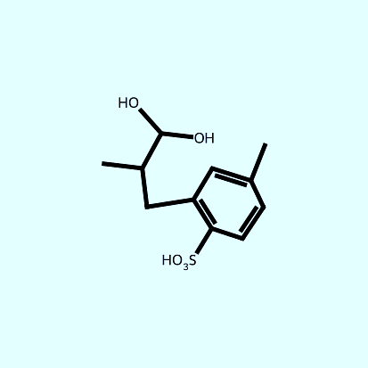 Cc1ccc(S(=O)(=O)O)c(CC(C)C(O)O)c1